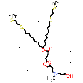 CCCSCCCSCCCCCCCCC(CCCCCCCCSCCCSCCC)OC(=O)CCC1OCC(CCN(C)CCCO)O1